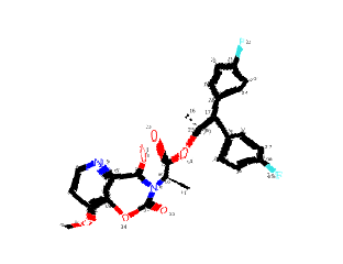 COc1ccnc2c(=O)n([C@H](C)C(=O)O[C@H](C)C(c3ccc(F)cc3)c3ccc(F)cc3)c(=O)oc12